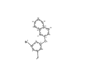 Fc1cc(Br)cc(Oc2cnc3ccccc3n2)c1